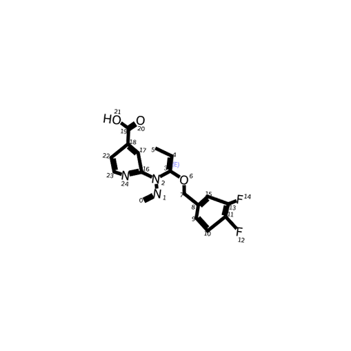 C=NN(/C(=C\C)OCc1ccc(F)c(F)c1)c1cc(C(=O)O)ccn1